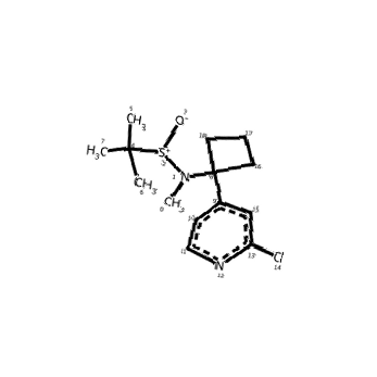 CN([S+]([O-])C(C)(C)C)C1(c2ccnc(Cl)c2)CCC1